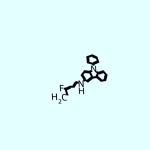 C=C/C(F)=C\C=C\Nc1ccc2c(c1)c1ccccc1n2-c1ccccc1